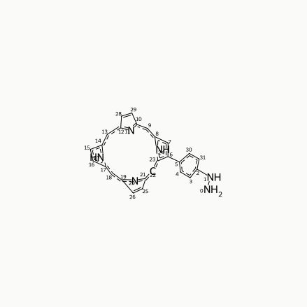 NNc1ccc(-c2cc3cc4nc(cc5ccc(cc6nc(cc2[nH]3)C=C6)[nH]5)C=C4)cc1